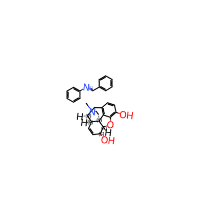 C(=N\c1ccccc1)/c1ccccc1.CN1CC[C@]23c4c5ccc(O)c4O[C@H]2[C@@H](O)C=C[C@H]3[C@H]1C5